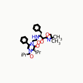 CC(C)C(=O)N1C=C(c2ccccc2)N(CC(=O)N[C@@H](Cc2ccccc2)C(=O)C2=NC(C)(C)CO2)C(=O)[C@H]1C(C)C